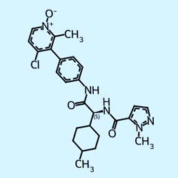 Cc1c(-c2ccc(NC(=O)[C@@H](NC(=O)c3ccnn3C)C3CCC(C)CC3)cc2)c(Cl)cc[n+]1[O-]